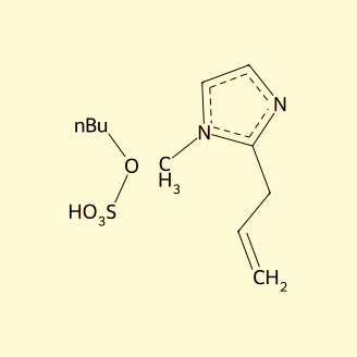 C=CCc1nccn1C.CCCCOS(=O)(=O)O